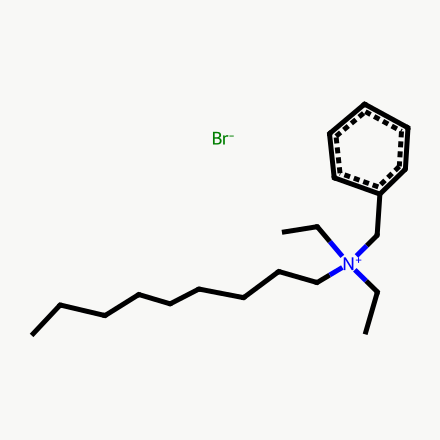 CCCCCCCCC[N+](CC)(CC)Cc1ccccc1.[Br-]